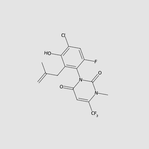 C=C(C)Cc1c(O)c(Cl)cc(F)c1-n1c(=O)cc(C(F)(F)F)n(C)c1=O